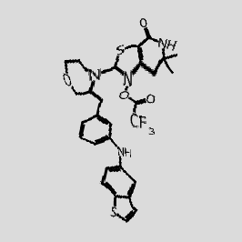 CC1(C)CC2=C(SC(N3CCOCC3Cc3cccc(Nc4ccc5sccc5c4)c3)N2OC(=O)C(F)(F)F)C(=O)N1